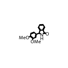 COc1ccc(C2NC(=O)c3ccccc32)cc1OC